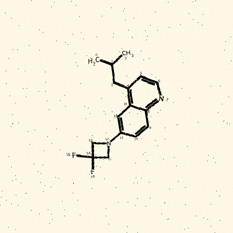 CC(C)Cc1ccnc2ccc(N3CC(F)(F)C3)cc12